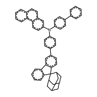 c1ccc(-c2ccc(N(c3ccc(-c4ccc5c(c4)-c4ccccc4C54C5CC6CC(C5)CC4C6)cc3)c3ccc4c(ccc5ccccc54)c3)cc2)cc1